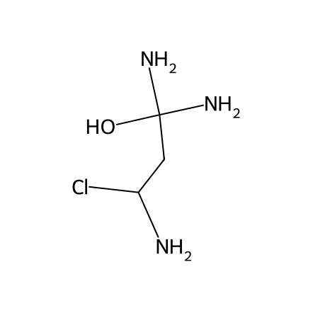 NC(Cl)CC(N)(N)O